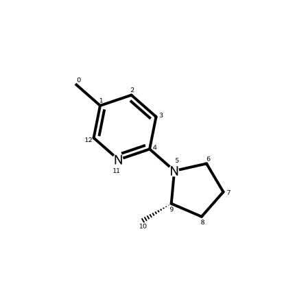 Cc1ccc(N2CCC[C@@H]2C)nc1